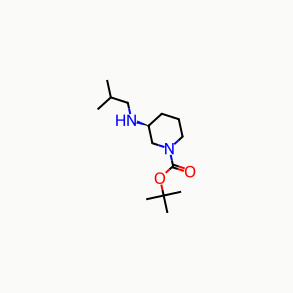 CC(C)CN[C@H]1CCCN(C(=O)OC(C)(C)C)C1